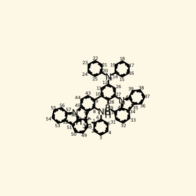 Cc1ccccc1Nc1c(-c2cc(N(c3ccccc3)c3ccccc3)cc3c2Bc2cccc4c5ccccc5n-3c24)ccc2c1c1cccc3c4ccccc4n2c31